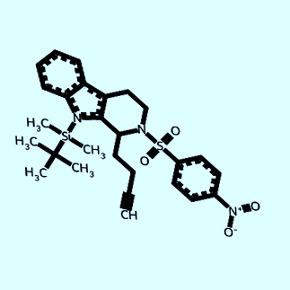 C#CCCC1c2c(c3ccccc3n2[Si](C)(C)C(C)(C)C)CCN1S(=O)(=O)c1ccc([N+](=O)[O-])cc1